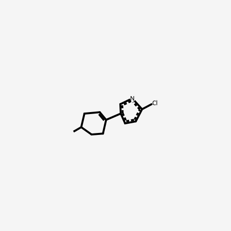 CC1CC=C(c2ccc(Cl)nc2)CC1